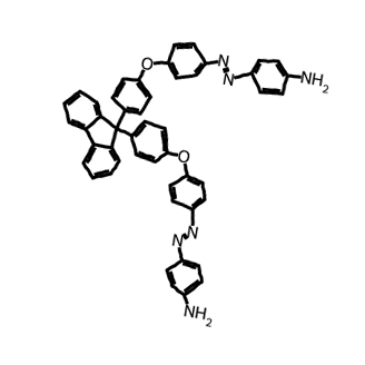 Nc1ccc(N=Nc2ccc(Oc3ccc(C4(c5ccc(Oc6ccc(N=Nc7ccc(N)cc7)cc6)cc5)c5ccccc5-c5ccccc54)cc3)cc2)cc1